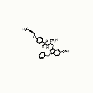 CC#CCOc1ccc(S(=O)(=O)N[C@@H](Cc2cn(Cc3cccnc3)c3ccc(OC)cc23)C(=O)O)cc1